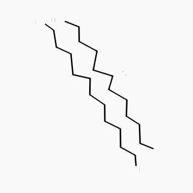 BCCCCCCCCCCCC.CCCCCCCCCCC[S-].[Na+]